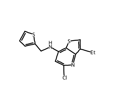 CCc1csc2c(NCc3cccs3)cc(Cl)nc12